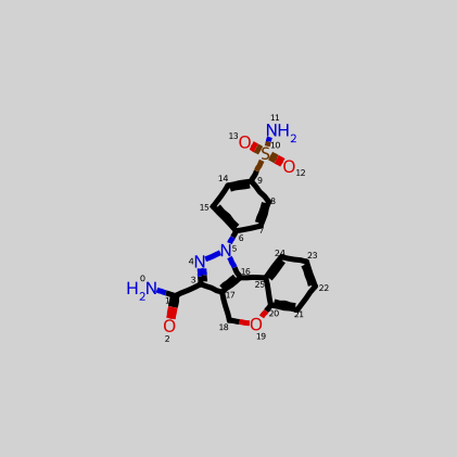 NC(=O)c1nn(-c2ccc(S(N)(=O)=O)cc2)c2c1COc1ccccc1-2